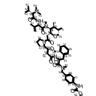 CC[C@H](C)[C@@H]([C@@H](CC(=O)N1CCC[C@H]1[C@H](OC)[C@@H](C)C(=O)NC(Cc1ccccc1)C(=O)N(C)Cc1ccc(NC(=O)OC(C)(C)C)cc1)OC)N(C)C(=O)[C@@H](NC(=O)[C@H](C(C)C)N(C)C)C(C)C